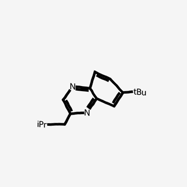 CC(C)Cc1cnc2ccc(C(C)(C)C)cc2n1